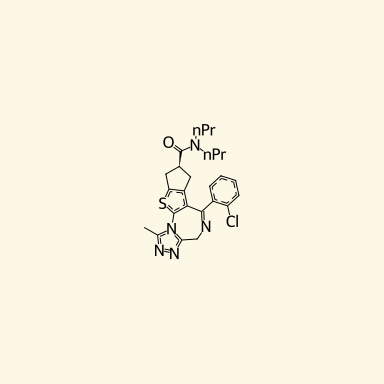 CCCN(CCC)C(=O)[C@@H]1Cc2sc3c(c2C1)C(c1ccccc1Cl)=NCc1nnc(C)n1-3